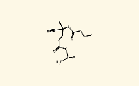 CCSC(=S)SC(C)(C#N)CCC(=O)OP(F)P